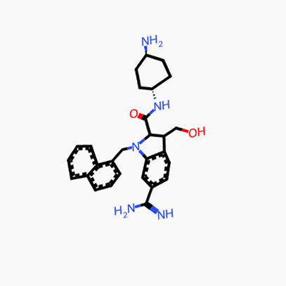 N=C(N)c1ccc2c(c1)N(Cc1cccc3ccccc13)C(C(=O)N[C@H]1CC[C@H](N)CC1)C2CO